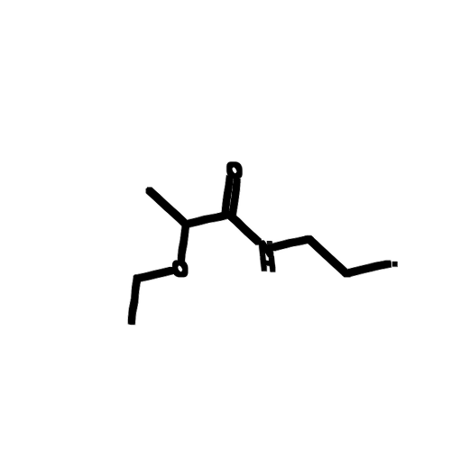 [CH2]CCNC(=O)C(C)OCC